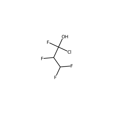 OC(F)(Cl)C(F)C(F)F